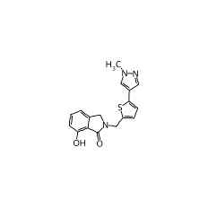 Cn1cc(-c2ccc(CN3Cc4cccc(O)c4C3=O)s2)cn1